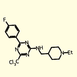 CCN1CCC(CNc2nc(-c3ccc(F)cc3)nc(C(Cl)(Cl)Cl)n2)CC1